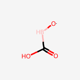 [O]BC(=O)O